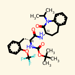 CC(C)N1C(=O)[C@@H](NC(=O)[C@@H](Cc2ccccc2OC(F)(F)F)NC(=O)OC(C)(C)C)CCc2ccccc21